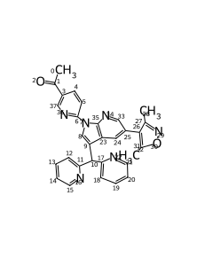 CC(=O)c1ccc(-n2cc(C(c3ccccn3)c3ccccn3)c3cc(-c4c(C)noc4C)cnc32)nc1